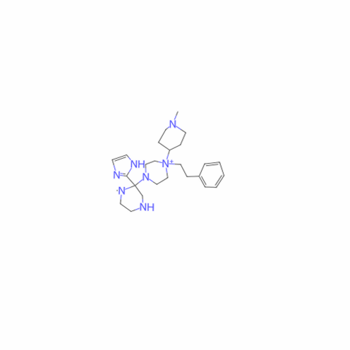 CN1CCC([N+]2(CCc3ccccc3)CCN(C3(c4ncc[nH]4)CNCC[N]3)CC2)CC1